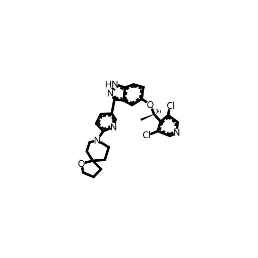 C[C@@H](Oc1ccc2[nH]nc(-c3ccc(N4CCC5(CCCO5)CC4)nc3)c2c1)c1c(Cl)cncc1Cl